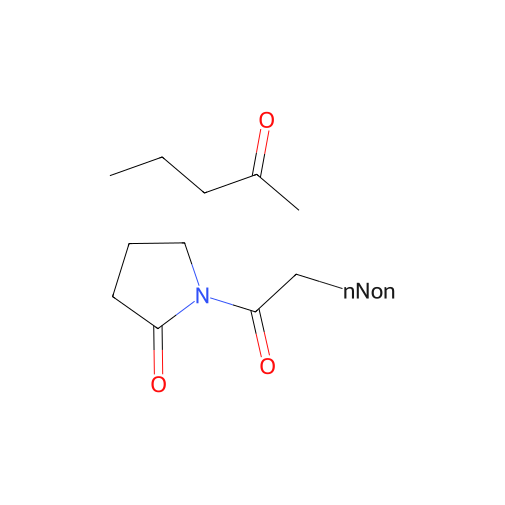 CCCC(C)=O.CCCCCCCCCCC(=O)N1CCCC1=O